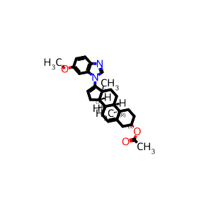 COc1ccc2ncn(C3=CC[C@H]4[C@@H]5CC=C6C[C@@H](OC(C)=O)CC[C@]6(C)[C@H]5CC[C@]34C)c2c1